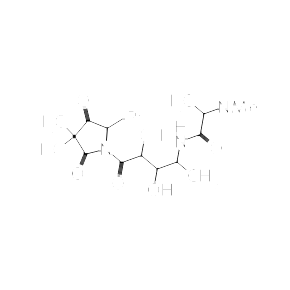 CNC(C)C(=O)NC(C)C(O)C(C)C(=O)N1C(=O)C(C)(C)C(=O)C1C(C)C